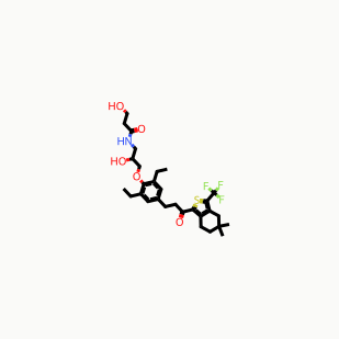 CCc1cc(CCC(=O)c2sc(C(F)(F)F)c3c2CCC(C)(C)C3)cc(CC)c1OCC(O)CNC(=O)CCO